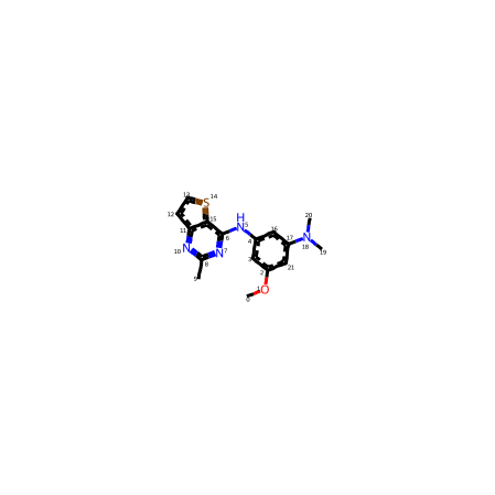 COc1cc(Nc2nc(C)nc3ccsc23)cc(N(C)C)c1